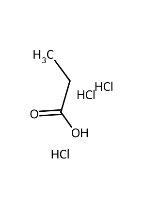 CCC(=O)O.Cl.Cl.Cl